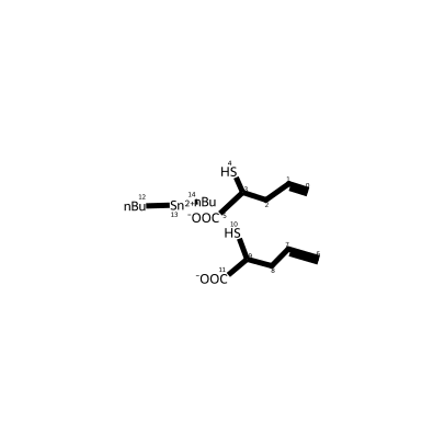 C=CCC(S)C(=O)[O-].C=CCC(S)C(=O)[O-].CCC[CH2][Sn+2][CH2]CCC